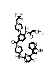 C=CC(=O)Nc1ccc(C(=O)N2CCC(Nc3ncc(Cl)c(-c4c[nH]c5ncccc45)n3)CC2)cc1N1CCN(CC(F)(F)F)CC1